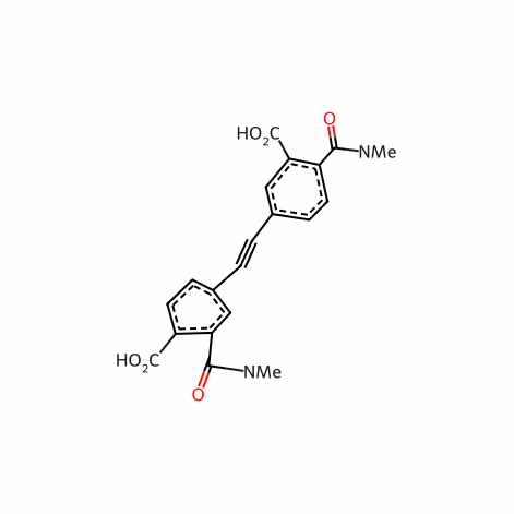 CNC(=O)c1ccc(C#Cc2ccc(C(=O)O)c(C(=O)NC)c2)cc1C(=O)O